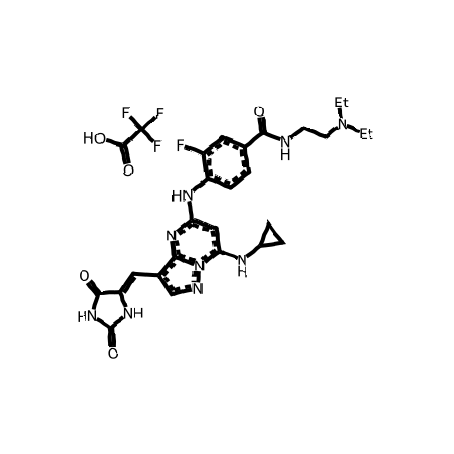 CCN(CC)CCNC(=O)c1ccc(Nc2cc(NC3CC3)n3ncc(/C=C4\NC(=O)NC4=O)c3n2)c(F)c1.O=C(O)C(F)(F)F